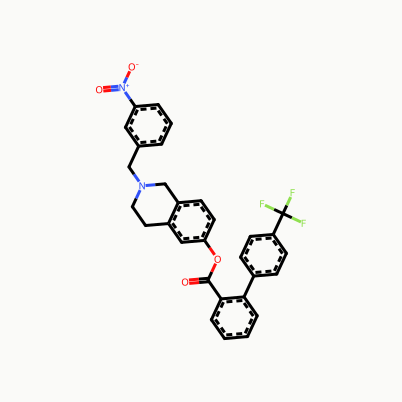 O=C(Oc1ccc2c(c1)CCN(Cc1cccc([N+](=O)[O-])c1)C2)c1ccccc1-c1ccc(C(F)(F)F)cc1